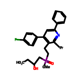 COP(=O)(CCc1c(-c2ccc(F)cc2)cc(-c2ccccc2)nc1C(C)C)C[C@@H](O)CC(=O)O